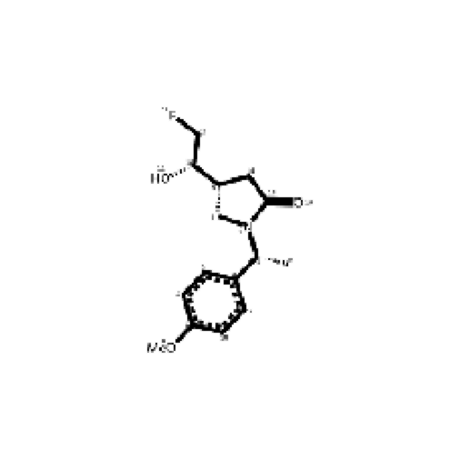 COc1ccc([C@@H](C)N2C[C@H]([C@H](O)CF)CC2=O)cc1